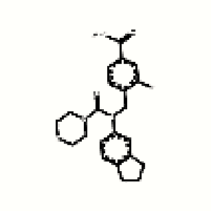 COC(=O)c1ccc(CN(C(=O)N2CCSCC2)c2ccc3c(c2)CCC3)c(F)c1